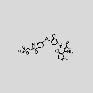 O=C(NCCS(=O)(=O)O)c1ccc(C2CC2c2ccc(OCC3=C(C4CC4)ONC3c3c(Cl)cccc3Cl)cc2Cl)cc1